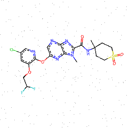 Cn1c(C(=O)NC2(C)CCS(=O)(=O)CC2)nc2ncc(Oc3ncc(Cl)cc3OCC(F)F)nc21